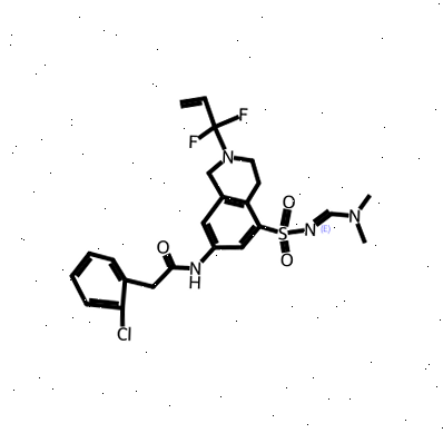 C=CC(F)(F)N1CCc2c(cc(NC(=O)Cc3ccccc3Cl)cc2S(=O)(=O)/N=C/N(C)C)C1